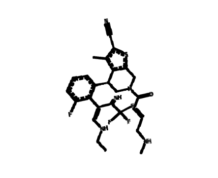 CCN/C=C(\C(=N)C(F)(F)F)c1c(F)cccc1[C@@H]1CN(C(=O)/C=C/CNC)Cc2sc(C#N)c(C)c21